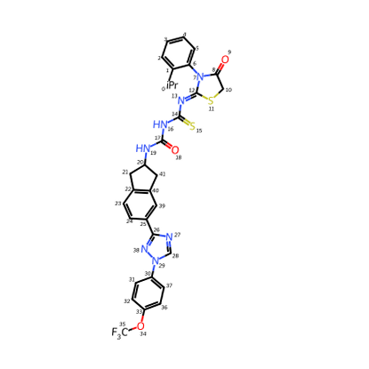 CC(C)c1ccccc1N1C(=O)CS/C1=N\C(=S)NC(=O)NC1Cc2ccc(-c3ncn(-c4ccc(OC(F)(F)F)cc4)n3)cc2C1